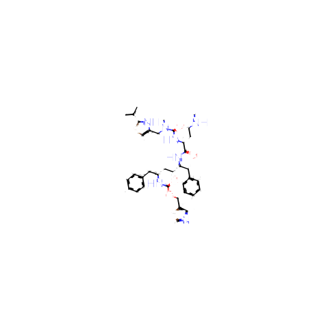 CNCC[C@H](NC(=O)N(C)CC1=CS[C@@H](C(C)C)N1)C(=O)N[C@H](CC[C@H](Cc1ccccc1)NC(=O)OCc1cncs1)Cc1ccccc1